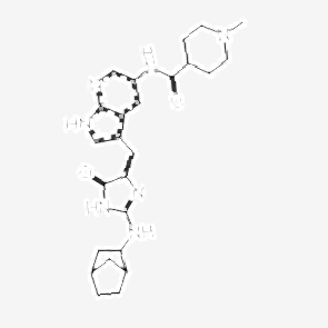 CN1CCC(C(=O)Nc2cnc3[nH]cc(C=C4N=C(NC5CC6CCC5C6)NC4=O)c3c2)CC1